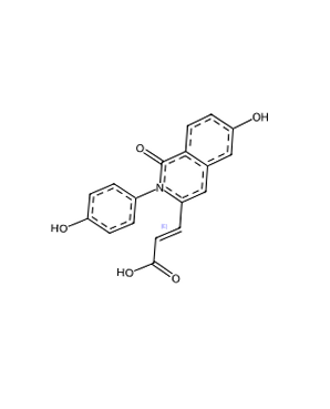 O=C(O)/C=C/c1cc2cc(O)ccc2c(=O)n1-c1ccc(O)cc1